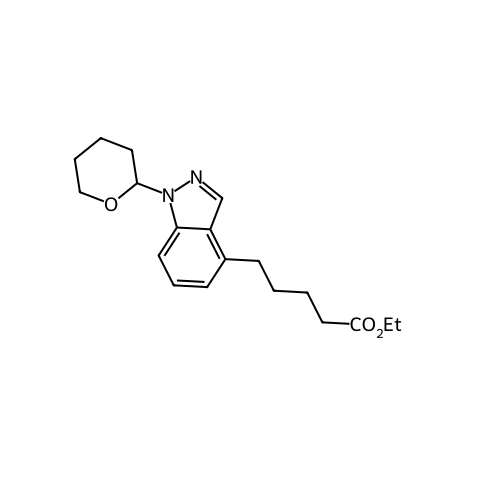 CCOC(=O)CCCCc1cccc2c1cnn2C1CCCCO1